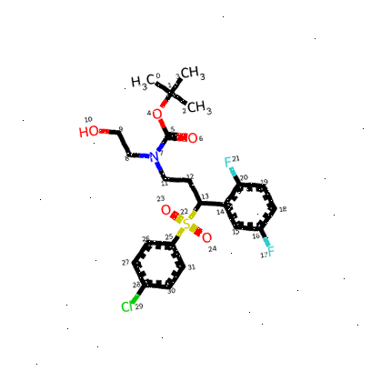 CC(C)(C)OC(=O)N(CCO)CCC(c1cc(F)ccc1F)S(=O)(=O)c1ccc(Cl)cc1